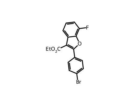 CCOC(=O)c1c(-c2ccc(Br)cc2)oc2c(F)cccc12